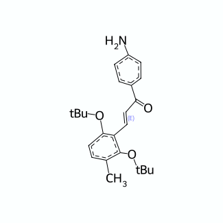 Cc1ccc(OC(C)(C)C)c(/C=C/C(=O)c2ccc(N)cc2)c1OC(C)(C)C